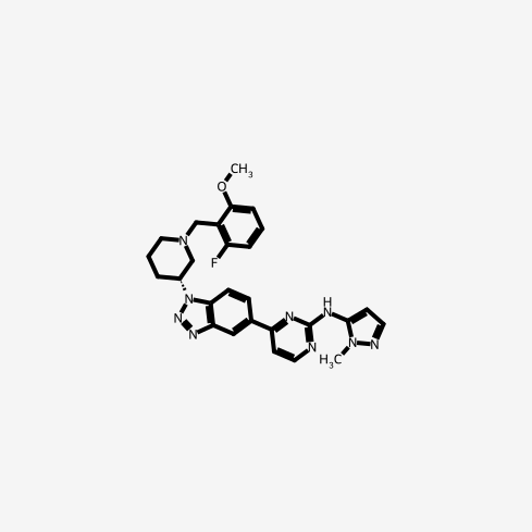 COc1cccc(F)c1CN1CCC[C@@H](n2nnc3cc(-c4ccnc(Nc5ccnn5C)n4)ccc32)C1